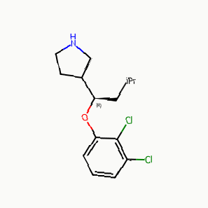 CC(C)C[C@@H](Oc1cccc(Cl)c1Cl)C1CCNC1